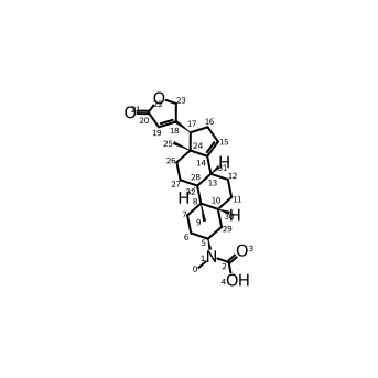 CN(C(=O)O)[C@H]1CC[C@@]2(C)[C@H](CC[C@H]3C4=CC[C@H](C5=CC(=O)OC5)[C@@]4(C)CC[C@@H]32)C1